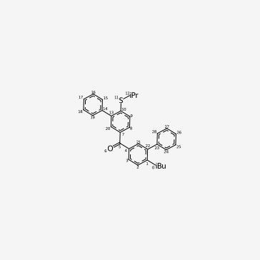 CCC(C)c1ccc(C(=O)c2ccc(SC(C)C)c(-c3ccccc3)c2)cc1-c1ccccc1